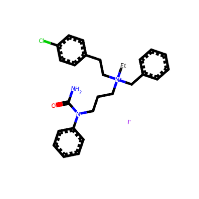 CC[N+](CCCN(C(N)=O)c1ccccc1)(CCc1ccc(Cl)cc1)Cc1ccccc1.[I-]